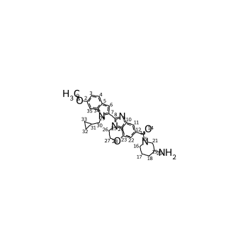 COc1ccc2cc(-c3nc4cc(C(=O)N5CCC[C@@H](N)C5)cc5c4n3CCO5)n(CC3CC3)c2c1